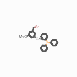 COc1cc(CBr)cc(OC)c1.c1ccc(P(c2ccccc2)c2ccccc2)cc1